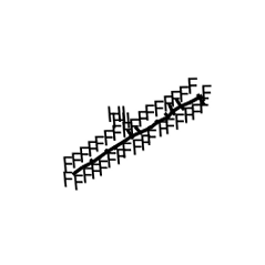 FC(F)(F)C(F)(F)C(F)(F)C(F)(F)C(F)(F)C(F)(F)C(F)(F)C(F)(F)C(F)(F)C(F)(F)C(F)(F)C(F)(F)C(F)(F)C(F)(F)C(F)(F)C(F)(F)F.I.I